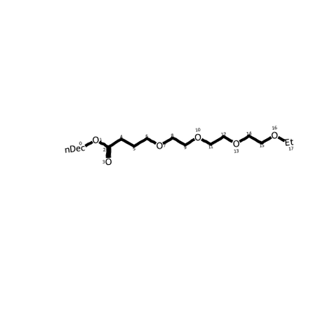 CCCCCCCCCCOC(=O)CCCOCCOCCOCCOCC